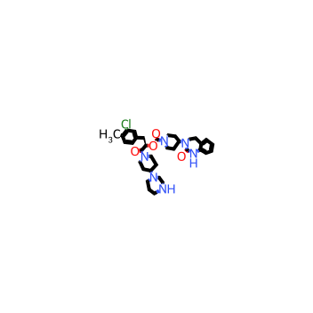 Cc1ccc(C[C@@H](OC(=O)N2CCC(N3CCc4ccccc4NC3=O)CC2)C(=O)N2CCC(N3CCCNCC3)CC2)cc1Cl